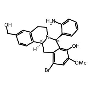 COc1cc(Br)c2c(c1O)[C@H](c1ccccc1N)N1CCc3cc(CO)ccc3[C@@H]1C2